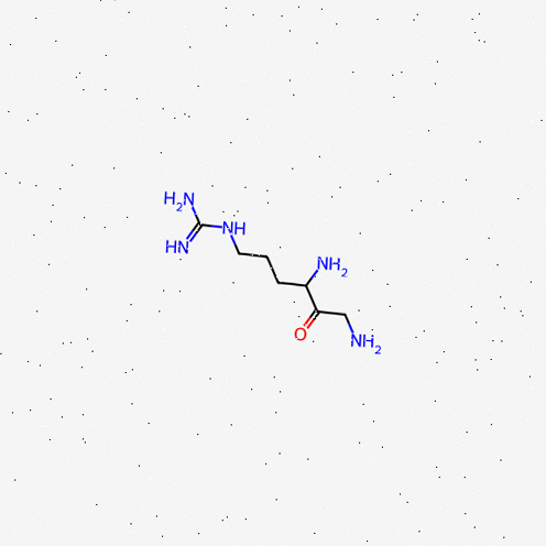 N=C(N)NCCCC(N)C(=O)CN